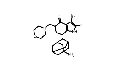 CCc1c(C)[nH]c2c1C(=O)C(CN1CCOCC1)CC2.NC12CC3CC(CC(C3)C1)C2